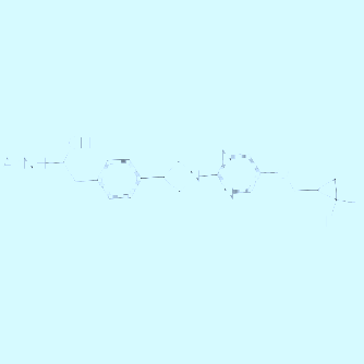 CC(=O)NC(C)Cc1ccc(C2CN(c3ncc(OCC4CC4(F)F)cn3)C2)cc1